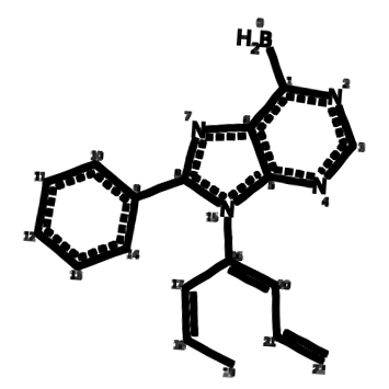 Bc1ncnc2c1nc(-c1ccccc1)n2C(/C=C\C)=C/C=C